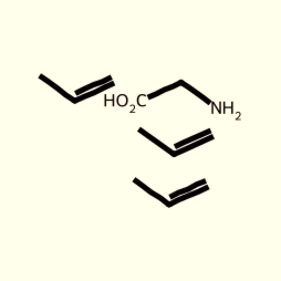 C=CC.C=CC.C=CC.NCC(=O)O